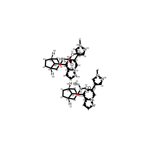 Cn1cc(-c2cn3nccc3c(N3C[C@H]4CC[C@@H](C3)C4CN(C(=O)O)C(C)(C)C)n2)cn1.Cn1cc(-c2cn3nccc3c(N3C[C@H]4CC[C@@H](C3)C4CNC(=O)OC(C)(C)C)n2)cn1